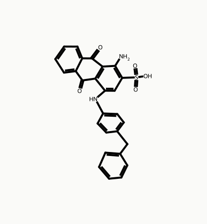 Nc1c(S(=O)(=O)O)cc(Nc2ccc(Cc3ccccc3)cc2)c2c1C(=O)c1ccccc1C2=O